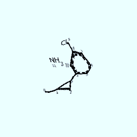 CC1CC1c1cccc(Cl)c1.N